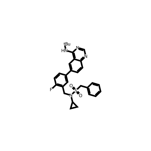 CC(C)(C)Nc1ncnc2ccc(-c3ccc(F)c(CN(C4CC4)S(=O)(=O)Cc4ccccc4)c3)cc12